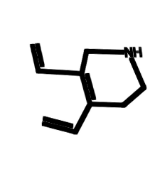 C=CC1=C(C=C)CNCC1